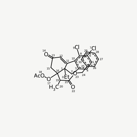 CCC12Cc3ccc(Cl)c(Cl)c3C1=CC(=O)CC2(OOC(C)=O)C(C)C(=O)OCc1ccccc1